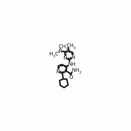 Cc1cnc(Nc2ccnc(C3CCCCC3)c2C(N)=O)nc1N(C)C